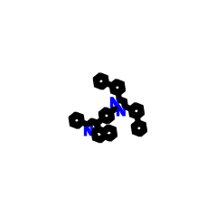 c1ccc(-c2cccc(-c3cc(-c4cccc(-c5ccccc5)c4)nc(-c4ccc(-c5cc(-c6ccccc6)nc6ccc7ccccc7c56)cc4)n3)c2)cc1